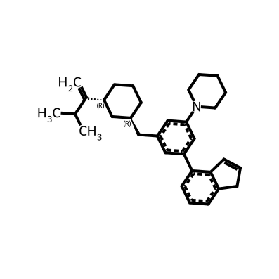 C=C(C(C)C)[C@@H]1CCC[C@@H](Cc2cc(-c3cccc4c3C=CC4)cc(N3CCCCC3)c2)C1